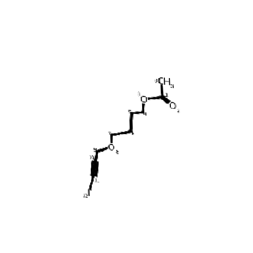 CC(=O)OCCCCOCC#CI